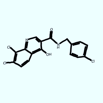 O=C(NCc1ccc(Cl)cc1)c1cnc2c(Cl)c(Cl)ccc2c1O